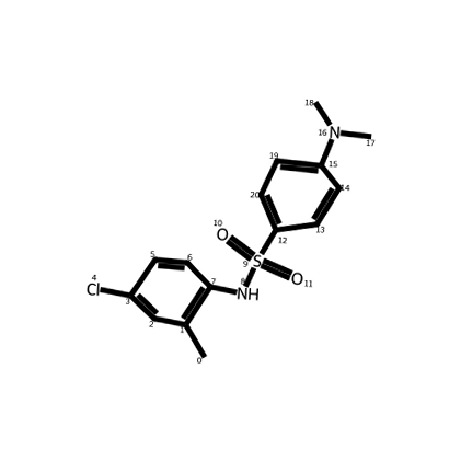 Cc1cc(Cl)ccc1NS(=O)(=O)c1ccc(N(C)C)cc1